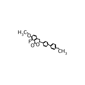 CCOc1ccc2c(c1F)C(=O)OC(c1ccc(-c3ccc(CC)cc3)cc1)C2